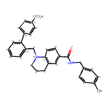 N#Cc1ccc(CNC(=O)c2ccc3c(c2)CCCN3Cc2ccccc2-c2ccc(C(=O)O)cc2)cc1